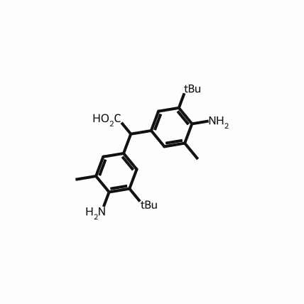 Cc1cc(C(C(=O)O)c2cc(C)c(N)c(C(C)(C)C)c2)cc(C(C)(C)C)c1N